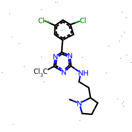 CN1CCCC1CCNc1nc(-c2cc(Cl)cc(Cl)c2)nc(C(Cl)(Cl)Cl)n1